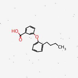 CCCCc1ccccc1Oc1cccc(C(=O)O)c1